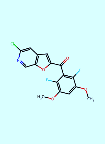 COc1cc(OC)c(F)c(C(=O)c2cc3cc(Cl)ncc3o2)c1F